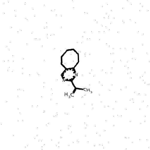 CC(C)c1ncc2c(n1)CCCCCC2